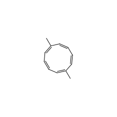 Cc1ccccc(C)cccc1